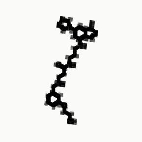 O=C(CCNCc1cccc(OCCO)c1)NCCCNc1cc(-n2cnnc2)cc2[nH]ncc12